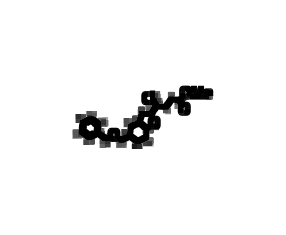 COC(=O)CCC(Cl)C1CC2CC(COCc3ccccc3)CCC2O1